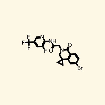 O=C(CN1CC2(CC2)c2cc(Br)ccc2C1=O)Nc1ncc(C(F)(F)F)cc1F